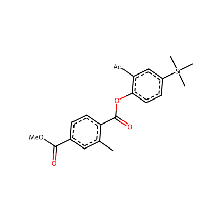 COC(=O)c1ccc(C(=O)Oc2ccc([Si](C)(C)C)cc2C(C)=O)c(C)c1